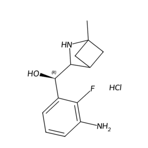 CC12CC(C1)C([C@H](O)c1cccc(N)c1F)N2.Cl